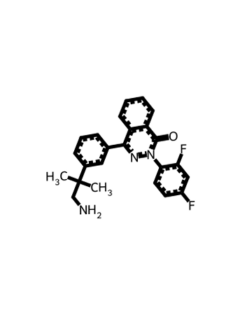 CC(C)(CN)c1cccc(-c2nn(-c3ccc(F)cc3F)c(=O)c3ccccc23)c1